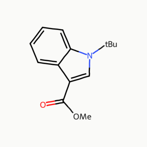 COC(=O)c1cn(C(C)(C)C)c2ccccc12